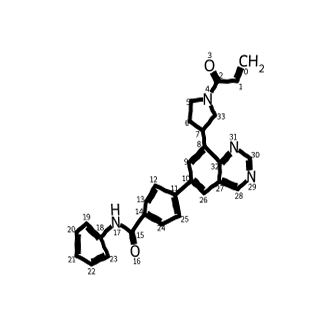 C=CC(=O)N1CCC(c2cc(-c3ccc(C(=O)Nc4ccccc4)cc3)cc3cncnc23)C1